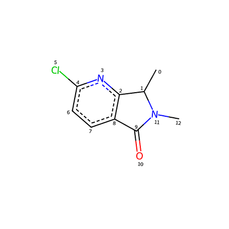 CC1c2nc(Cl)ccc2C(=O)N1C